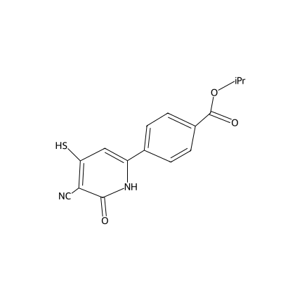 CC(C)OC(=O)c1ccc(-c2cc(S)c(C#N)c(=O)[nH]2)cc1